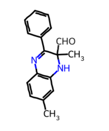 Cc1ccc2c(c1)NC(C)(C=O)C(c1ccccc1)=N2